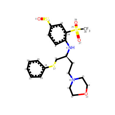 O=[S+]c1ccc(N[C@@H](CCN2CCOCC2)CSc2ccccc2)c(S(=O)(=O)C(F)(F)F)c1